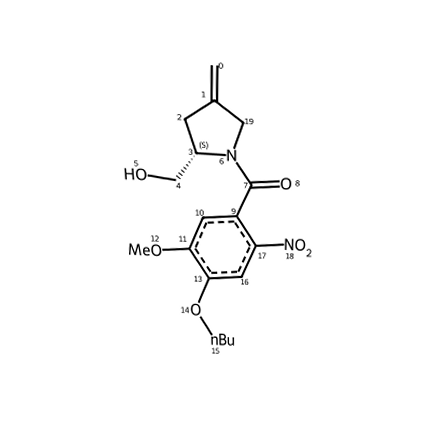 C=C1C[C@@H](CO)N(C(=O)c2cc(OC)c(OCCCC)cc2[N+](=O)[O-])C1